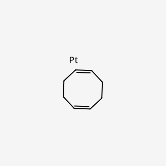 C1=CCCC=CCC1.[Pt]